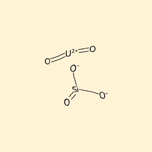 O=[Si]([O-])[O-].[O]=[U+2]=[O]